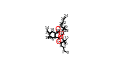 CCCCC(OC(=O)c1cc(C)c(CC)cc1C(=O)OC(CCCC)C(C)(C)C)C(C)(C)C